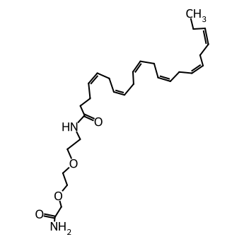 CC/C=C\C/C=C\C/C=C\C/C=C\C/C=C\C/C=C\CCC(=O)NCCOCCOCC(N)=O